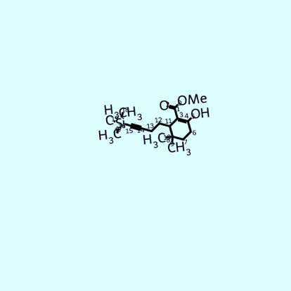 COC(=O)C1=C(O)CCC(C)(C)C1CCC#C[Si](C)(C)C